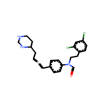 O=CN(CCc1ccc(Cl)cc1Cl)c1ccc(C=C=CCC2CCNCN2)cc1